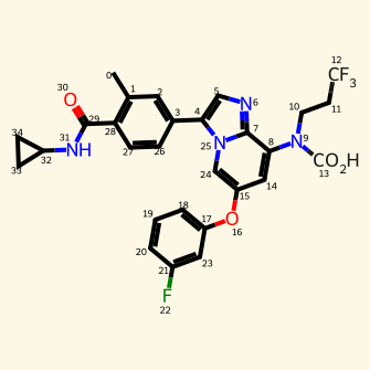 Cc1cc(-c2cnc3c(N(CCC(F)(F)F)C(=O)O)cc(Oc4cccc(F)c4)cn23)ccc1C(=O)NC1CC1